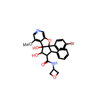 COc1cncc2c1C1(O)C(O)C(C(=O)NC3COC3)C(c3ccccc3)C1(c1ccc(Br)cc1)O2